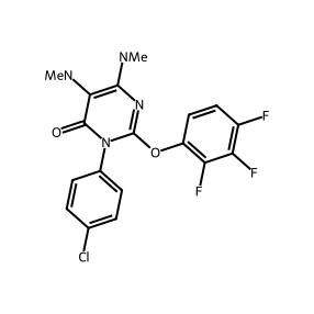 CNc1nc(Oc2ccc(F)c(F)c2F)n(-c2ccc(Cl)cc2)c(=O)c1NC